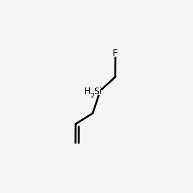 C=CC[SiH2]CF